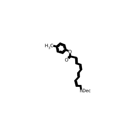 CCCCCCCCCCC\C=C/C=C/C=C\C=C\C(=O)Oc1ccc(C)cc1